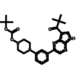 CC(C)(C)OC(=O)ON1CCN(c2cccc(-c3cnc4[nH]cc(C(=O)C(C)(C)C)c4n3)c2)CC1